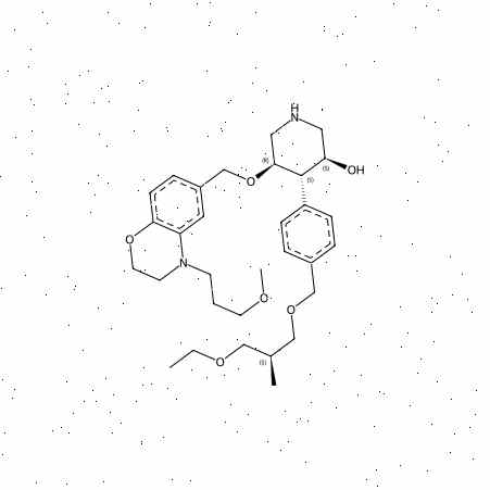 CCOC[C@H](C)COCc1ccc([C@H]2[C@H](O)CNC[C@@H]2OCc2ccc3c(c2)N(CCCOC)CCO3)cc1